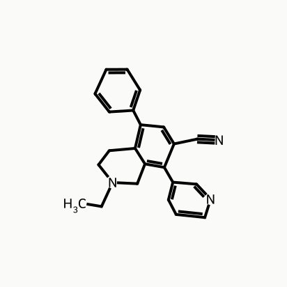 CCN1CCc2c(-c3ccccc3)cc(C#N)c(-c3cccnc3)c2C1